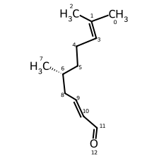 CC(C)=CCC[C@@H](C)C/C=C/C=O